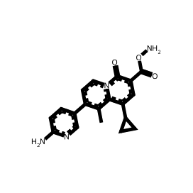 Cc1c(-c2ccc(N)nc2)ccn2c(=O)c(C(=O)ON)cc(C3CC3)c12